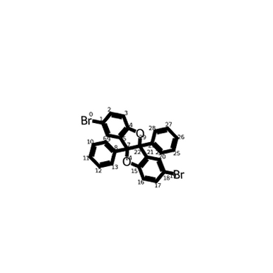 Brc1ccc2c(c1)C1(c3ccccc3)Oc3ccc(Br)cc3C1(c1ccccc1)O2